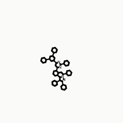 c1ccc(-c2cc(-c3ccccc3)cc(-c3cc(-c4cccc5c4cc(-c4ccccc4)n4nc(-c6ccccc6)c(-c6ccccc6)c54)nc(-c4ccccc4)n3)c2)cc1